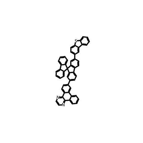 c1ccc2c(c1)-c1ccccc1C21c2cc(-c3ccc4sc5ccccc5c4c3)ccc2-c2ccc(-c3ccc4c(c3)c3ccccc3c3nccnc43)cc21